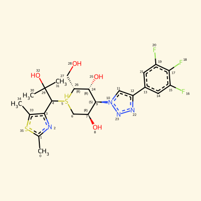 Cc1nc(C([SH]2C[C@H](O)[C@H](n3cc(-c4cc(F)c(F)c(F)c4)nn3)[C@@H](O)[C@H]2CO)C(C)(C)O)c(C)s1